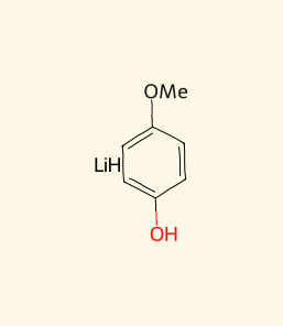 COc1ccc(O)cc1.[LiH]